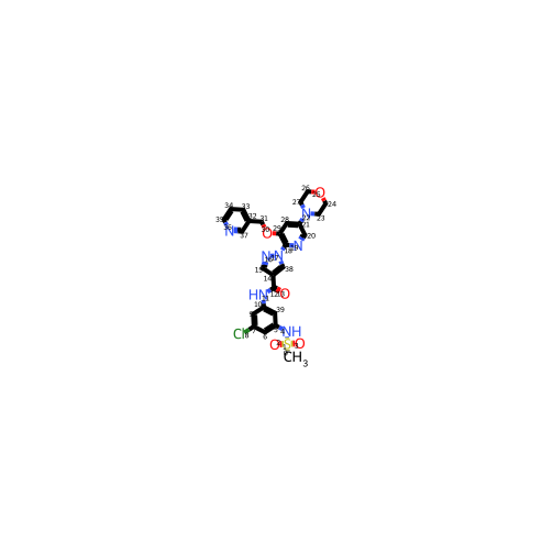 CS(=O)(=O)Nc1cc(Cl)cc(NC(=O)c2cnn(-c3ncc(N4CCOCC4)cc3OCc3cccnc3)c2)c1